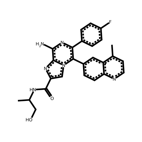 Cc1ccnc2ccc(-c3c(-c4ccc(F)cc4)nc(N)c4nc(C(=O)NC(C)CO)cn34)cc12